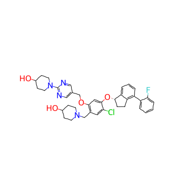 OC1CCN(Cc2cc(Cl)c(O[C@H]3CCc4c(-c5ccccc5F)cccc43)cc2OCc2cnc(N3CCC(O)CC3)nc2)CC1